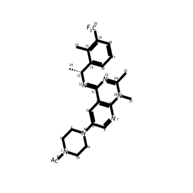 CC(=O)N1CCN(c2cnc3c(c2)/c(=N/[C@H](C)c2cccc(C(F)(F)F)c2C)nc(C)n3C)CC1